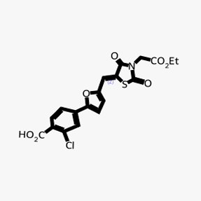 CCOC(=O)CN1C(=O)S/C(=C\c2ccc(-c3ccc(C(=O)O)c(Cl)c3)o2)C1=O